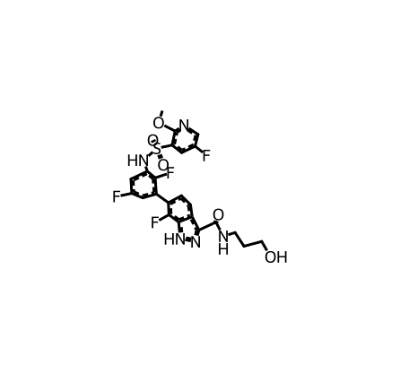 COc1ncc(F)cc1S(=O)(=O)Nc1cc(F)cc(-c2ccc3c(C(=O)NCCCO)n[nH]c3c2F)c1F